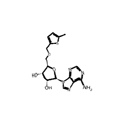 Cc1ccc(COC[C@H]2O[C@@H](n3cnc4c(N)ncnc43)[C@H](O)[C@@H]2O)s1